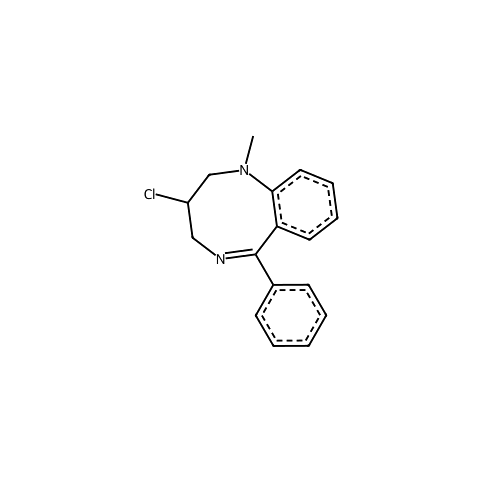 CN1CC(Cl)CN=C(c2ccccc2)c2ccccc21